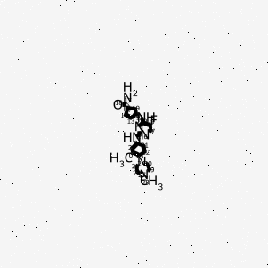 Cc1cc(Nc2ncc(F)c(N[C@H]3C=C[C@@H](C(N)=O)C3)n2)ccc1N1CCN(C)CC1